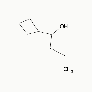 CCCC(O)C1CCC1